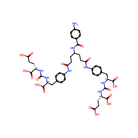 Nc1ccc(C(=O)NC(CCC(=O)Nc2ccc(C[C@H](NC(=O)N[C@@H](CCC(=O)O)C(=O)O)C(=O)O)cc2)CCC(=O)Nc2ccc(C[C@H](NC(=O)N[C@@H](CCC(=O)O)C(=O)O)C(=O)O)cc2)cc1